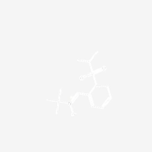 CC(C)S(=O)(=O)c1ccccc1/C=[N+](\[O-])C(C)(C)C